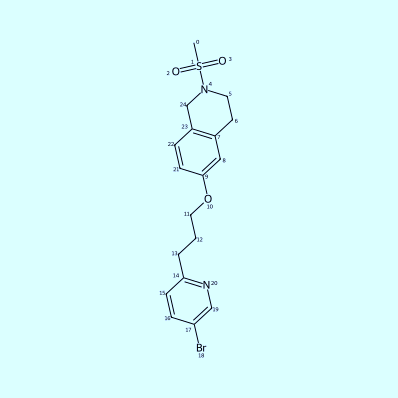 CS(=O)(=O)N1CCc2cc(OCCCc3ccc(Br)cn3)ccc2C1